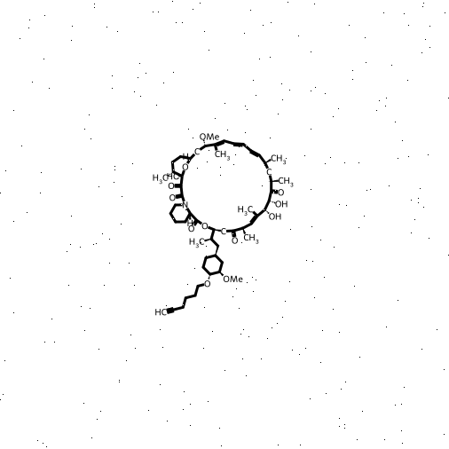 C#CCCCCO[C@@H]1CC[C@@H](C[C@@H](C)[C@@H]2CC(=O)[C@H](C)/C=C(\C)[C@@H](O)[C@@H](O)C(=O)[C@H](C)C[C@H](C)/C=C/C=C/C=C(\C)[C@@H](OC)C[C@@H]3CC[C@@H](C)[C@@](O)(O3)C(=O)C(=O)N3CCCC[C@H]3C(=O)O2)C[C@H]1OC